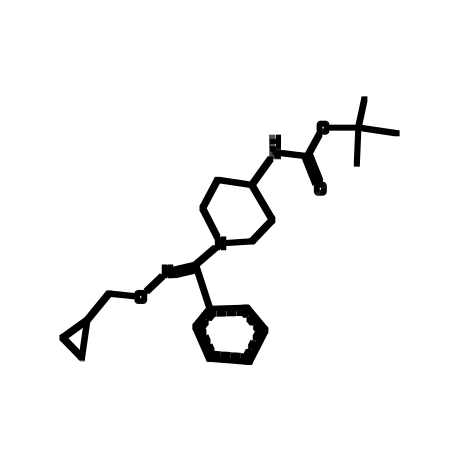 CC(C)(C)OC(=O)NC1CCN(/C(=N/OCC2CC2)c2ccccc2)CC1